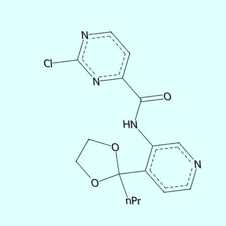 CCCC1(c2ccncc2NC(=O)c2ccnc(Cl)n2)OCCO1